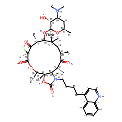 CC[C@H]1OC(=O)[C@@](C)(F)C(=O)[C@H](C)[C@@H](OC2O[C@H](C)C[C@H](N(C)C)[C@H]2O)[C@@](C)(OC)C[C@@H](C)C(=O)[C@H](C)[C@H]2N(CCCCc3ccnc4ccccc34)C(=O)O[C@]12CC